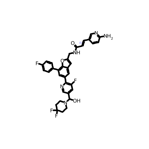 Nc1ccc(/C=C/C(=O)NCc2cc3cc(-c4ncc(C(O)N5CCC(F)(F)CC5)cc4F)cc(-c4ccc(F)cc4)c3o2)cn1